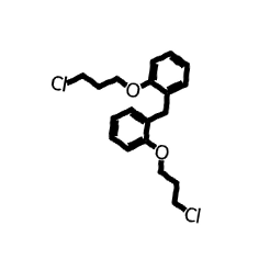 ClCCCOc1ccccc1Cc1ccccc1OCCCCl